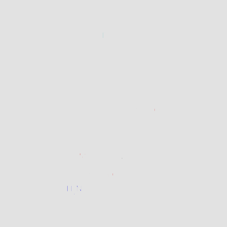 CC(C)(CCC(=O)c1ccc(F)c(F)c1)OC(N)=O